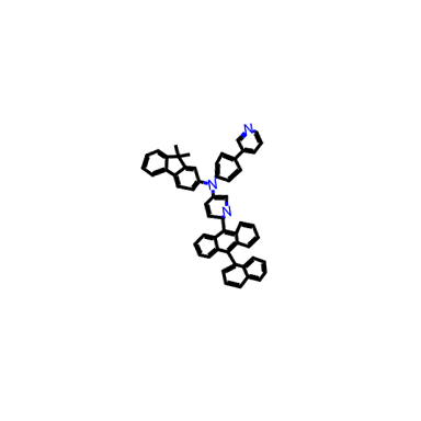 CC1(C)c2ccccc2-c2ccc(N(c3ccc(-c4cccnc4)cc3)c3ccc(-c4c5ccccc5c(-c5cccc6ccccc56)c5ccccc45)nc3)cc21